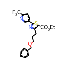 CCOC(=O)c1sc(-c2ccc(C(F)(F)F)nc2)nc1CCCOCc1ccccc1